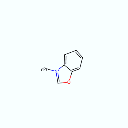 CCC[n+]1coc2ccccc21